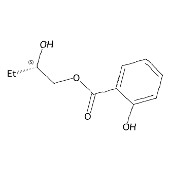 CC[C@H](O)COC(=O)c1ccccc1O